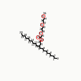 CCCCCCCCCCC(CCCCCCCCCC)CCOC(=O)COCCCOCCCOC